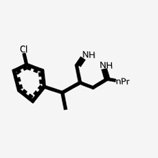 CCCC(=N)CC(C=N)C(C)c1cccc(Cl)c1